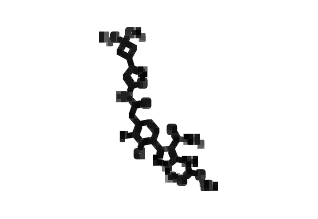 CC(C)n1nc(-c2ccc(CC(=O)Nc3cc(C4CC(C)(C)C4)no3)c(F)c2Cl)c(C(N)=O)c1NC(=O)OC(C)(C)C